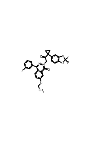 CCOc1ccc2c(-c3cccc(F)c3)nn(CC(=O)C3(c4ccc5c(c4)OC(F)(F)O5)CC3)c(=O)c2c1